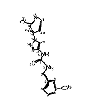 O=C(NCc1cccc(Cl)c1)Nc1cnn(-c2ccnc(Cl)n2)c1